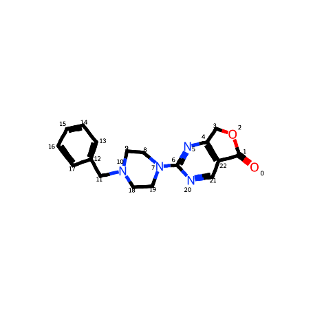 O=C1OCc2nc(N3CCN(Cc4ccccc4)CC3)ncc21